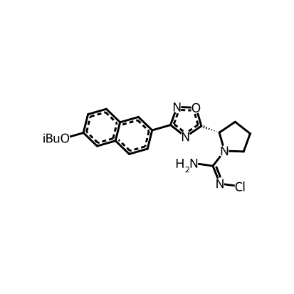 CC(C)COc1ccc2cc(-c3noc([C@@H]4CCCN4/C(N)=N\Cl)n3)ccc2c1